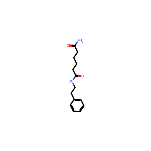 NC(=O)CCCCC(=O)NCCc1ccccc1